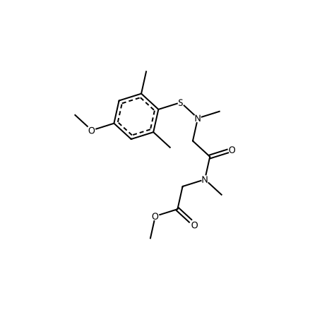 COC(=O)CN(C)C(=O)CN(C)Sc1c(C)cc(OC)cc1C